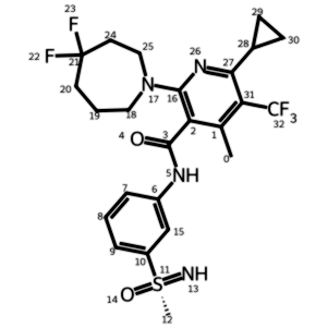 Cc1c(C(=O)Nc2cccc([S@@](C)(=N)=O)c2)c(N2CCCC(F)(F)CC2)nc(C2CC2)c1C(F)(F)F